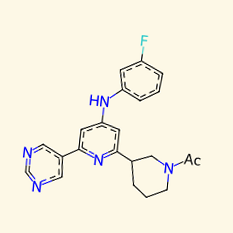 CC(=O)N1CCCC(c2cc(Nc3cccc(F)c3)cc(-c3cncnc3)n2)C1